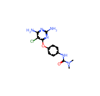 CN(C)C(=O)Nc1ccc(Oc2nc(N)nc(N)c2Cl)cc1